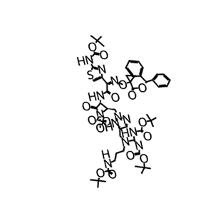 CC(C)(C)OC(=O)/N=C(/NC(=O)OC(C)(C)C)N(CCCNC(=O)OC(C)(C)C)Cc1cnn(C[C@@H]2[C@H](NC(=O)/C(=N\OC3(C(=O)OC(c4ccccc4)c4ccccc4)CC3)c3csc(NC(=O)OC(C)(C)C)n3)C(=O)N2S(=O)(=O)O)n1